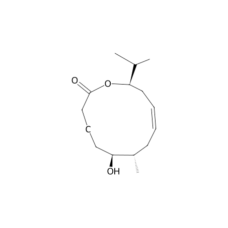 CC(C)[C@H]1CC=CC[C@H](C)[C@@H](O)CCCC(=O)O1